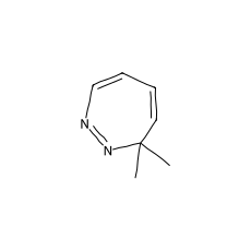 CC1(C)C=CC=CN=N1